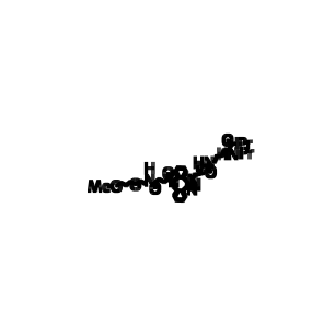 COCCCOCCNC(=O)CCC(=O)N1Cc2ccccc2-c2nnn(CCOC(=O)NCCCCC(NC(C)C)C(=O)C(C)C)c2-c2ccccc21